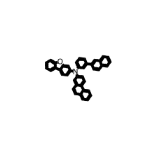 c1cc(-c2ccc3ccccc3c2)cc(N(c2ccc3c(ccc4ccccc43)c2)c2ccc3c(c2)oc2ccccc23)c1